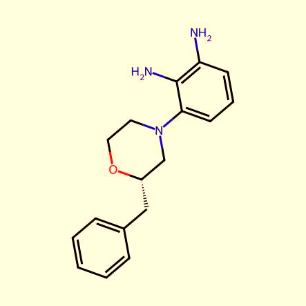 Nc1cccc(N2CCO[C@@H](Cc3ccccc3)C2)c1N